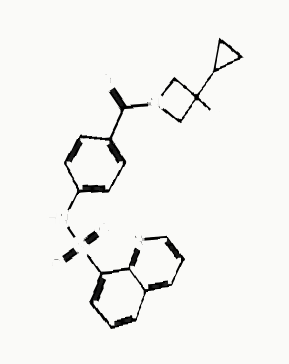 O=C(c1ccc(NS(=O)(=O)c2cccc3cccnc23)cc1)N1CC(O)(C2CC2)C1